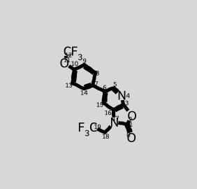 O=c1oc2ncc(-c3ccc(OC(F)(F)F)cc3)cc2n1CC(F)(F)F